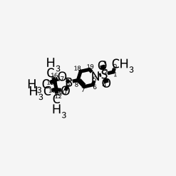 CCS(=O)(=O)N1CC=C(B2OC(C)(C)C(C)(C)O2)CC1